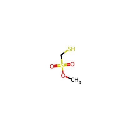 COS(=O)(=O)CS